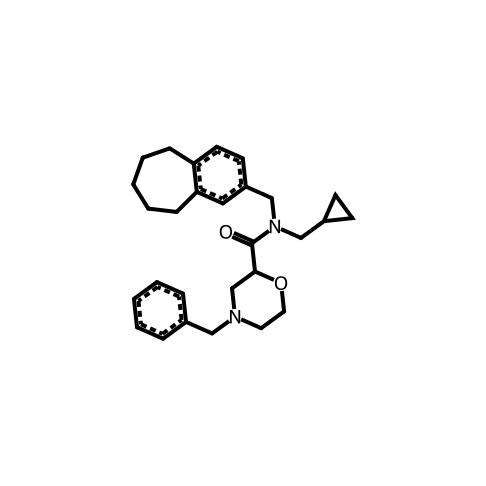 O=C(C1CN(Cc2ccccc2)CCO1)N(Cc1ccc2c(c1)CCCCC2)CC1CC1